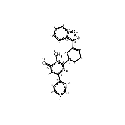 Cn1c(N2CCC=C(c3noc4ccccc34)C2)nc(-c2ccncn2)cc1=O